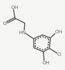 O=C(O)CNc1cc(O)c(Cl)c(O)c1